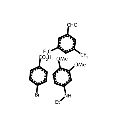 CCNc1ccc(OC)c(OC)c1.O=C(O)c1ccc(Br)cc1.O=Cc1cc(C(F)(F)F)cc(C(F)(F)F)c1